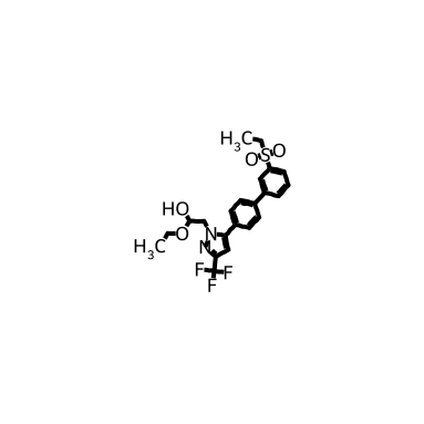 CCOC(O)Cn1nc(C(F)(F)F)cc1-c1ccc(-c2cccc(S(=O)(=O)CC)c2)cc1